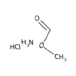 COC=O.Cl.N